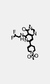 Cn1cnc2cc(C3=CCN(S(C)(=O)=O)CC3)nc(NCC(F)F)c2c1=O